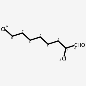 O=CC(Cl)CCCCCCCl